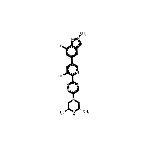 C[C@H]1CN(c2cnc(-c3ncc(-c4cc(F)c5nn(C)cc5c4)cc3O)nn2)C[C@H](C)N1